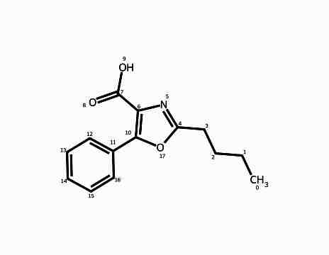 CCCCc1nc(C(=O)O)c(-c2ccccc2)o1